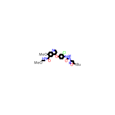 COCCNC(=O)c1cc2c(Oc3ccc(NC(=O)Nc4cc(C(C)(C)C)on4)c(Cl)c3)ccnc2cc1OC